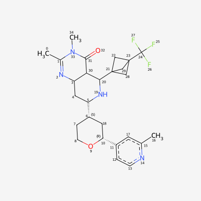 CC1=NC2CC([C@H]3CCO[C@@H](c4ccnc(C)c4)C3)NC(C34CC(C(F)(F)F)(C3)C4)C2C(=O)N1C